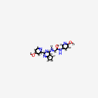 COc1ccnc(-c2nc3c(c(N(C)CC(=O)Nc4ccc(OC)nc4)n2)CCC3)c1